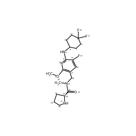 COc1nc(NC2CCC(F)(F)CC2)c(F)cc1CN(C)C(=O)[C@@H]1CCCN1